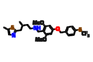 COc1cc(OCc2ccc(SC(F)(F)F)cc2)cc(OC)c1CNCCC(C)Cc1ncc(C)s1